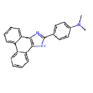 CN(C)c1ccc(-c2nc3c4ccccc4c4ccccc4c3[nH]2)cc1